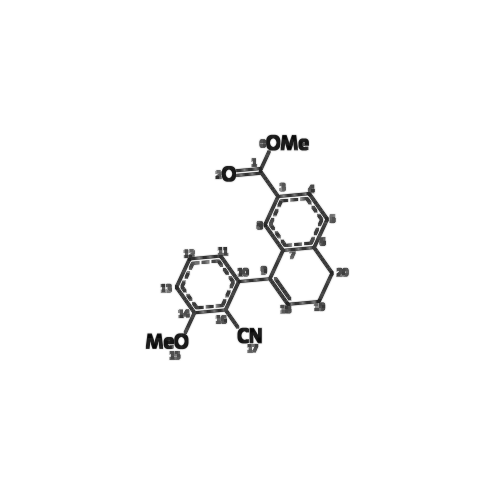 COC(=O)c1ccc2c(c1)C(c1cccc(OC)c1C#N)=CCC2